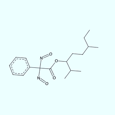 CCC(C)CCC(OC(=O)C(N=O)(N=O)c1ccccc1)C(C)C